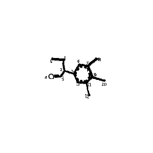 CCC([C]=O)c1cc(C)c(C)c(C)c1